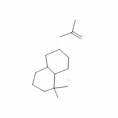 CC(=O)O[C@@H]1CC[C@H]2C(C)(C)CCC[C@@]2(C)C1